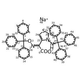 O=C([O-])C(=NOC(c1ccccc1)(c1ccccc1)c1ccccc1)C1=CSCN1NC(c1ccccc1)(c1ccccc1)c1ccccc1.[Na+]